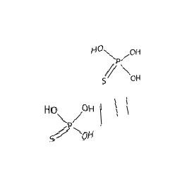 CC.CC.CC.OP(O)(O)=S.OP(O)(O)=S